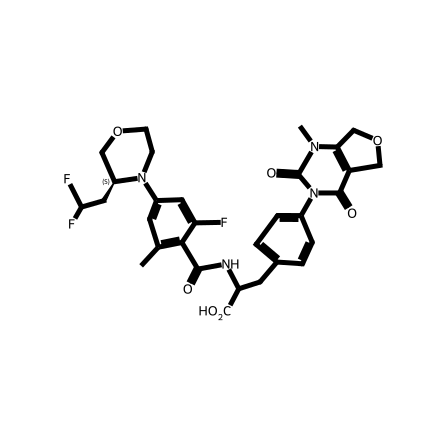 Cc1cc(N2CCOC[C@@H]2CC(F)F)cc(F)c1C(=O)NC(Cc1ccc(-n2c(=O)c3c(n(C)c2=O)COC3)cc1)C(=O)O